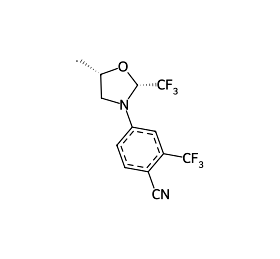 [CH2][C@H]1CN(c2ccc(C#N)c(C(F)(F)F)c2)[C@@H](C(F)(F)F)O1